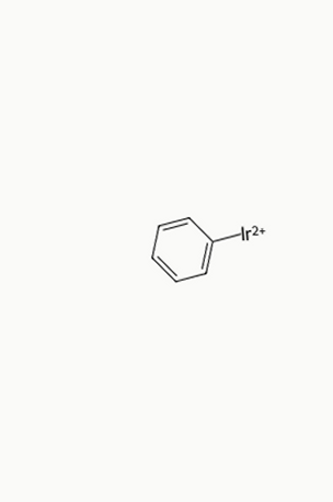 [Ir+2][c]1ccccc1